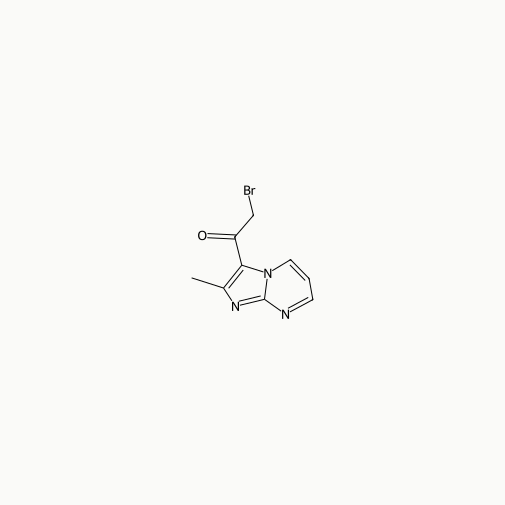 Cc1nc2ncccn2c1C(=O)CBr